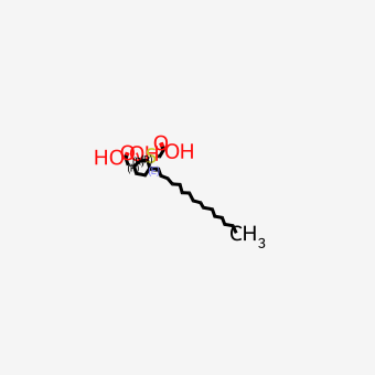 CCCCCCCCCCCCCCC/C=C1\CC[C@H](CC(=O)O)[C@@H](O)[C@@H]1SCC(=O)O